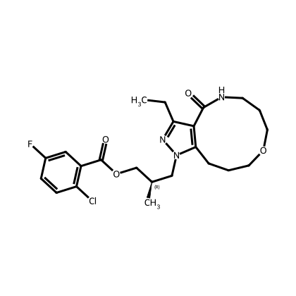 CCc1nn(C[C@@H](C)COC(=O)c2cc(F)ccc2Cl)c2c1C(=O)NCCCOCCC2